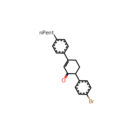 CCCCCc1ccc(C2=CC(=O)C(c3ccc(Br)cc3)CC2)cc1